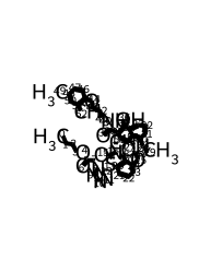 CCCCOC(=O)Cn1nnnc1SC(=O)N(C)Cc1ccccc1OC(=O)N(C)c1cccc2c(O)c(C(=O)NCCCOc3ccc(C)cc3C)ccc12